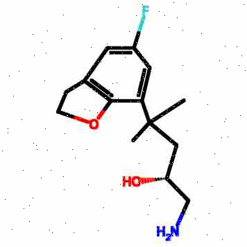 CC(C)(C[C@@H](O)CN)c1cc(F)cc2c1OCC2